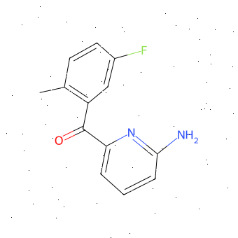 Cc1ccc(F)cc1C(=O)c1cccc(N)n1